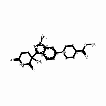 Cn1nc(C2(C)CCC(=O)NC2=O)c2ccc(N3CCC(C(=O)OC(C)(C)C)CC3)cc21